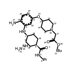 CC(C)NC(=O)[C@H]1CC[C@@H](Nc2cc(OC3CCN(CC(=O)OC(C)(C)C)CC3)ncc2N)CC1.N.N